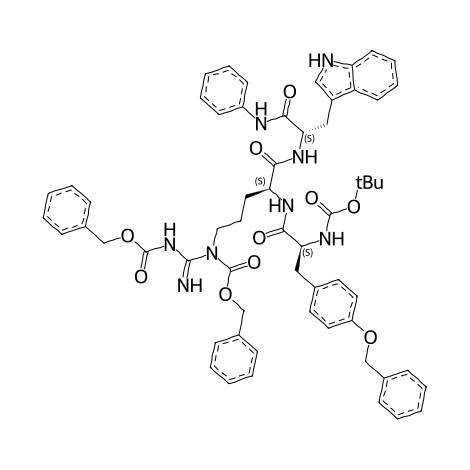 CC(C)(C)OC(=O)N[C@@H](Cc1ccc(OCc2ccccc2)cc1)C(=O)N[C@@H](CCCN(C(=N)NC(=O)OCc1ccccc1)C(=O)OCc1ccccc1)C(=O)N[C@@H](Cc1c[nH]c2ccccc12)C(=O)Nc1ccccc1